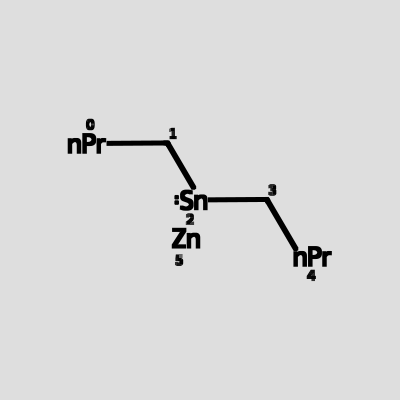 CCC[CH2][Sn][CH2]CCC.[Zn]